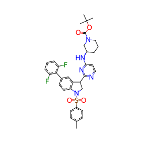 Cc1ccc(S(=O)(=O)N2CC(c3nccc(N[C@@H]4CCCN(C(=O)OC(C)(C)C)C4)n3)c3cc(-c4c(F)cccc4F)ccc32)cc1